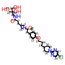 O=C(CCC1CN(C(=O)Cc2ccc(OCCCC3CCN(c4ncc(Cl)cn4)CC3)cc2F)C1)NCC(O)(CO)CO